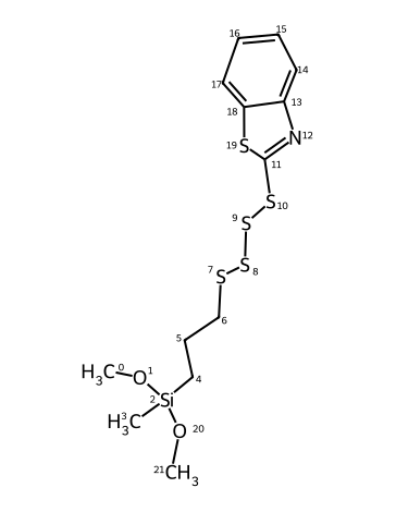 CO[Si](C)(CCCSSSSc1nc2ccccc2s1)OC